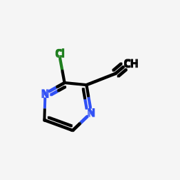 C#Cc1nccnc1Cl